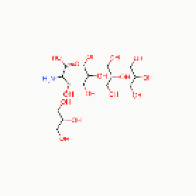 NC(CO)C(=O)O.OCC(O)CO.OCC(O)CO.OCC(O)CO.OCC(O)CO